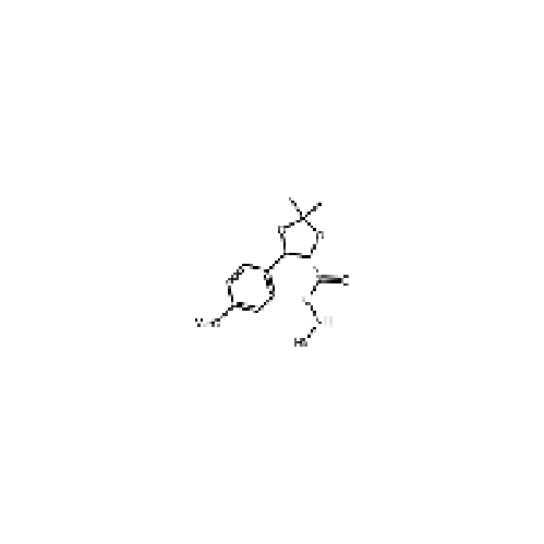 COc1ccc(C2OC(C)(C)O[C@@H]2C(=O)ONS)cc1